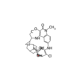 Cn1c(=O)c2c(c3cc(Nc4nc(N5C6CCC5CS(O)(O)C6)ncc4Cl)ccc31)NC(C1CC1)CCO2